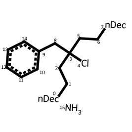 CCCCCCCCCCCCC(Cl)(CCCCCCCCCCCC)Cc1ccccc1.N